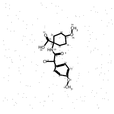 COc1ccc(C(Cl)C(=O)NC2(C(=O)O)CCC(OC)CC2)cc1